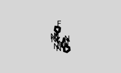 Fc1ccc(-n2cc(-c3nnc4c5ccccc5n5cncc5n34)nn2)cc1